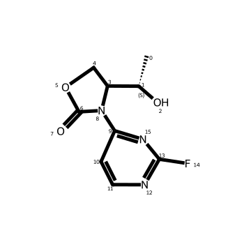 C[C@H](O)C1COC(=O)N1c1ccnc(F)n1